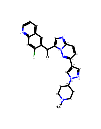 CC(c1cc2cccnc2cc1F)c1cnc2ccc(-c3cnn(C4CCN(C)CC4)c3)nn12